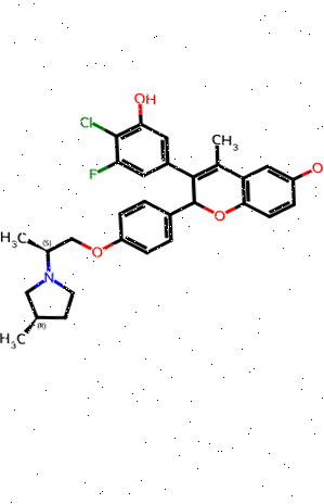 CC1=C(c2cc(O)c(Cl)c(F)c2)C(c2ccc(OC[C@H](C)N3CC[C@@H](C)C3)cc2)Oc2ccc(O)cc21